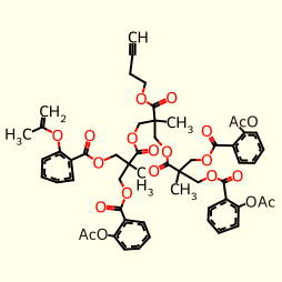 C#CCCOC(=O)C(C)(COC(=O)C(C)(COC(=O)c1ccccc1OC(=C)C)COC(=O)c1ccccc1OC(C)=O)COC(=O)C(C)(COC(=O)c1ccccc1OC(C)=O)COC(=O)c1ccccc1OC(C)=O